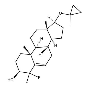 CC1(O[C@@]2(C)CC[C@H]3[C@@H]4CC=C5C(F)(F)[C@@H](O)CC[C@]5(C)[C@H]4CC[C@@]32C)CC1